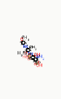 COc1ccc(/N=N/c2cc(OC)c(/N=N/c3c(S(=O)(=O)O)cc4cc(S(=O)(=O)O)cc(N)c4c3O)cc2C)cc1